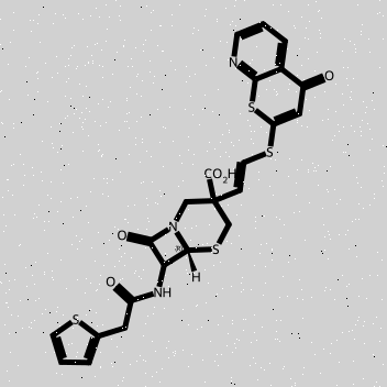 O=C(Cc1cccs1)NC1C(=O)N2CC(C=CSc3cc(=O)c4cccnc4s3)(C(=O)O)CS[C@H]12